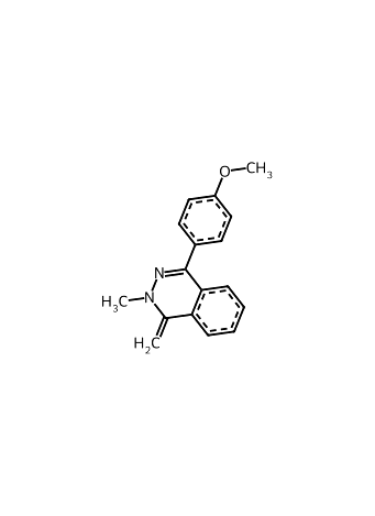 C=C1c2ccccc2C(c2ccc(OC)cc2)=NN1C